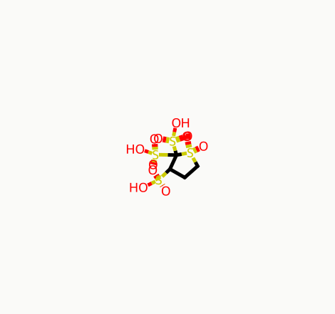 O=S(=O)(O)C1CCS(=O)(=O)C1(S(=O)(=O)O)S(=O)(=O)O